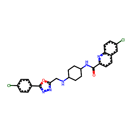 O=C(NC1CCC(NCc2nnc(-c3ccc(Cl)cc3)o2)CC1)c1ccc2cc(Cl)ccc2n1